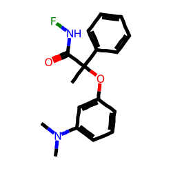 CN(C)c1cccc(OC(C)(C(=O)NF)c2ccccc2)c1